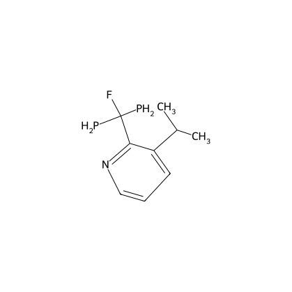 CC(C)c1cccnc1C(F)(P)P